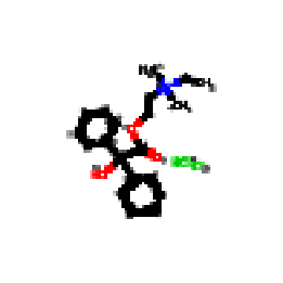 CC[N+](C)(C)CCOC(=O)C(O)(c1ccccc1)c1ccccc1.Cl.[Cl-]